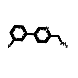 Fc1cccc(-c2ccc(CP)nc2)c1